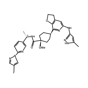 CO[C@]1(C(=O)N[C@@H](C)c2ccc(-n3cc(F)cn3)nc2)CC[C@H](c2nc(Nc3cc(C)[nH]n3)cc3c2OCC3)CC1